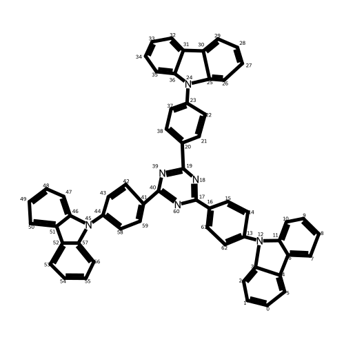 c1ccc2c(c1)c1ccccc1n2-c1ccc(-c2nc(-c3ccc(-n4c5ccccc5c5ccccc54)cc3)nc(-c3ccc(-n4c5ccccc5c5ccccc54)cc3)n2)cc1